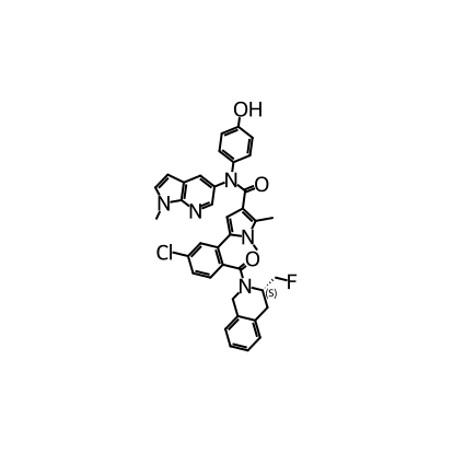 Cc1c(C(=O)N(c2ccc(O)cc2)c2cnc3c(ccn3C)c2)cc(-c2cc(Cl)ccc2C(=O)N2Cc3ccccc3C[C@H]2CF)n1C